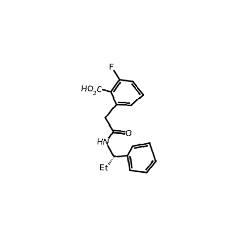 CC[C@H](NC(=O)Cc1cccc(F)c1C(=O)O)c1ccccc1